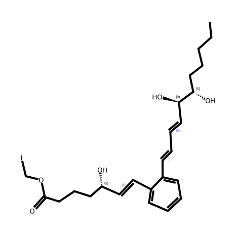 CCCCC[C@H](O)[C@H](O)/C=C/C=C/c1ccccc1/C=C/[C@@H](O)CCCC(=O)OCI